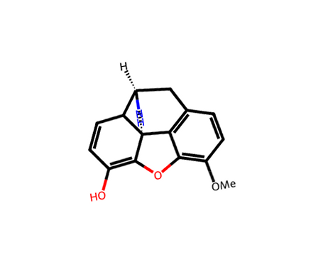 COc1ccc2c3c1OC1=C(O)C=CC4[C@@H](C2)NC[C@@]134